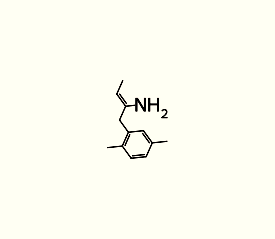 CC=C(N)Cc1cc(C)ccc1C